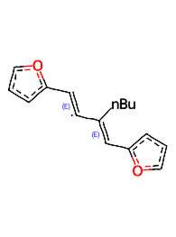 [CH2]CCCC(/[C]=C/c1ccco1)=C\c1ccco1